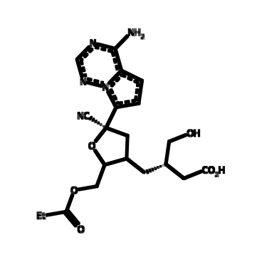 CCC(=O)OCC1O[C@@](C#N)(c2ccc3c(N)ncnn23)CC1C[C@H](CO)CC(=O)O